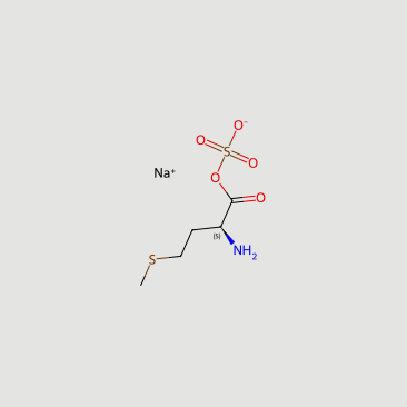 CSCC[C@H](N)C(=O)OS(=O)(=O)[O-].[Na+]